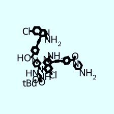 CC(C)(C)OC(=O)NC(=N)N(c1cc(Cl)cc2c(C#Cc3ccc(C(=O)N4CCC(N)CC4)cc3)c(N)ncc12)C1CCN(C(O)c2ccc(C#Cc3c(N)ncc4ccc(Cl)cc34)cc2)CC1